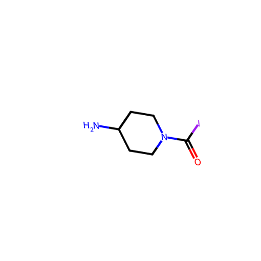 NC1CCN(C(=O)I)CC1